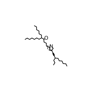 CCCCCCCC(CCCCCC)C(=O)CCCn1cc(C#CC(CCC)CCCCCC)cn1